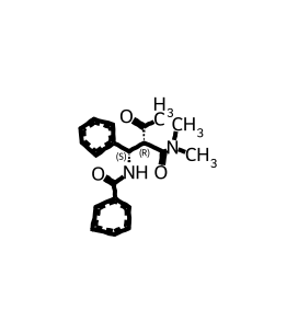 CC(=O)[C@H](C(=O)N(C)C)[C@H](NC(=O)c1ccccc1)c1ccccc1